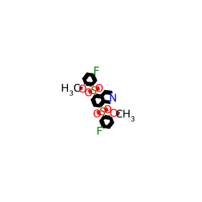 COc1ccc(F)cc1S(=O)(=O)c1ccc(S(=O)(=O)c2cc(F)ccc2OC)c2cnccc12